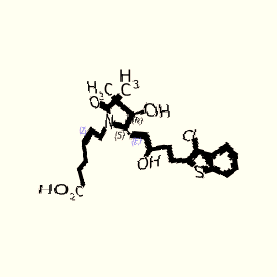 CC1(C)C(=O)N(C/C=C\CCCC(=O)O)[C@@H](/C=C/C(O)CCc2sc3ccccc3c2Cl)[C@@H]1O